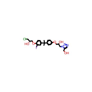 CC(C)(c1ccc(OC[C@@H](O)Cn2nncc2CO)cc1)c1ccc(OC[C@H](O)CCl)c(I)c1